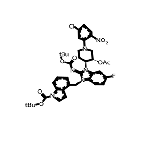 CC(=O)O[C@H]1CN(c2cc(Cl)ccc2[N+](=O)[O-])CC[C@@H]1n1c(=NC(=O)OC(C)(C)C)n(Cc2cccc3c2ccn3C(=O)OC(C)(C)C)c2ccc(F)cc21